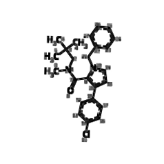 CN(CC(C)(C)C)C(=O)c1c(-c2ccc(Cl)cc2)ccn1Cc1ccccc1